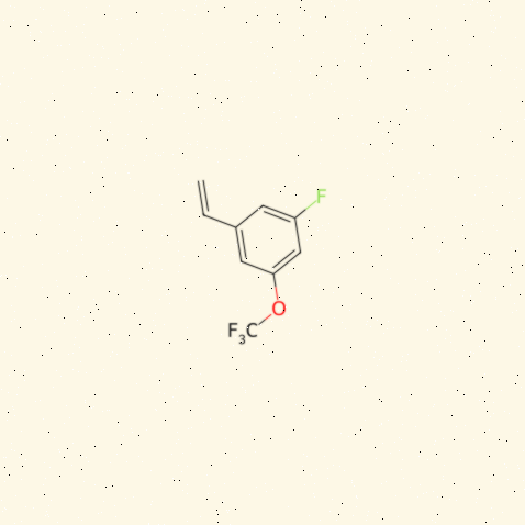 C=Cc1cc(F)cc(OC(F)(F)F)c1